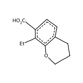 CCc1c(C(=O)O)ccc2c1OCCC2